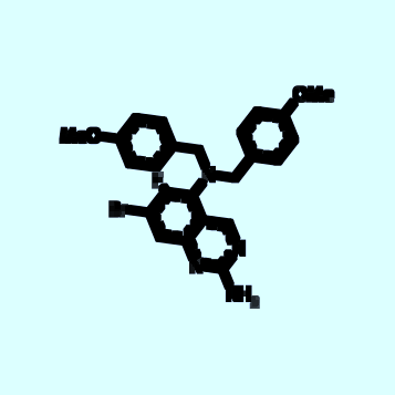 COc1ccc(CN(Cc2ccc(OC)cc2)c2c(F)c(Br)cc3nc(N)ncc23)cc1